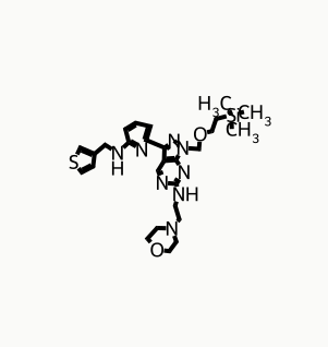 C[Si](C)(C)CCOCn1nc(-c2cccc(NCc3ccsc3)n2)c2cnc(NCCN3CCOCC3)nc21